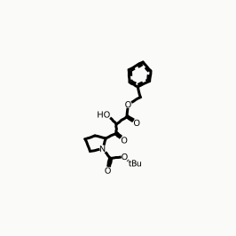 CC(C)(C)OC(=O)N1CCCC1C(=O)C(O)C(=O)OCc1ccccc1